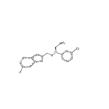 NC[C@H](OCc1cc2ccc(Cl)cc2s1)c1cccc(Cl)c1